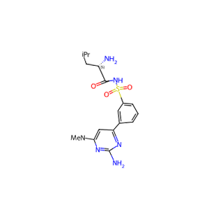 CNc1cc(-c2cccc(S(=O)(=O)NC(=O)[C@@H](N)CC(C)C)c2)nc(N)n1